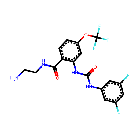 NCCNC(=O)c1ccc(OC(F)(F)F)cc1NC(=O)Nc1cc(F)cc(F)c1